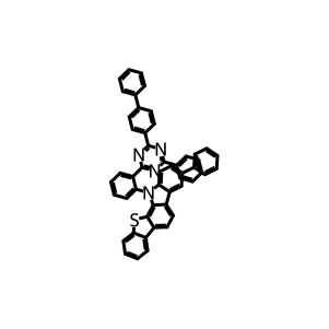 c1ccc(-c2ccc(-c3nc(-c4ccccc4)nc(-c4ccccc4-n4c5ccc(-c6ccccc6)cc5c5ccc6c7ccccc7sc6c54)n3)cc2)cc1